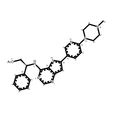 CC(=O)OC[C@@H](Nc1ncnc2cc(-c3ccc(N4CCN(C)CC4)nc3)sc12)c1ccccc1